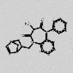 NC1C(=O)N(CC2CC3C=CC2C3)c2ccccc2N(c2ccccc2)C1=O